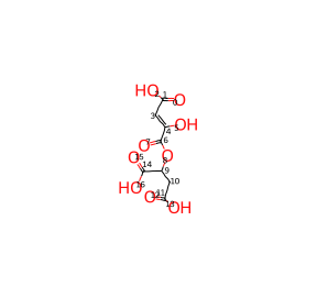 O=C(O)C=C(O)C(=O)OC(CC(=O)O)C(=O)O